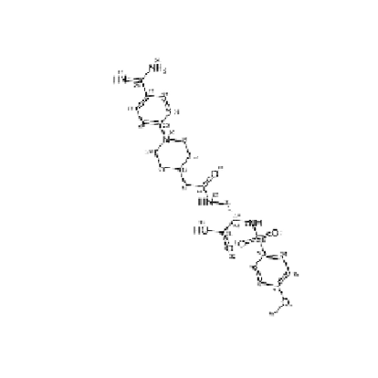 COc1ccc(S(=O)(=O)N[C@@H](CNC(=O)CC2CCN(c3ccc(C(=N)N)cc3)CC2)C(=O)O)cc1